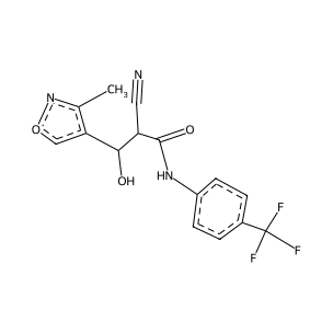 Cc1nocc1C(O)C(C#N)C(=O)Nc1ccc(C(F)(F)F)cc1